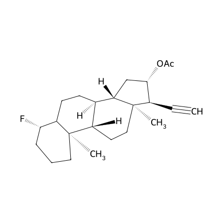 C#C[C@@H]1[C@@H](OC(C)=O)C[C@H]2[C@@H]3CCC4[C@@H](F)CCC[C@]4(C)[C@H]3CC[C@]12C